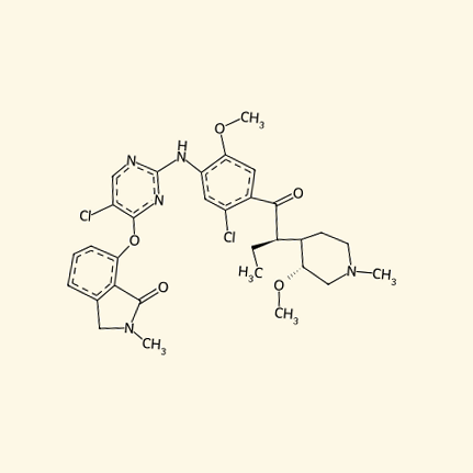 CC[C@@H](C(=O)c1cc(OC)c(Nc2ncc(Cl)c(Oc3cccc4c3C(=O)N(C)C4)n2)cc1Cl)C1CCN(C)C[C@@H]1OC